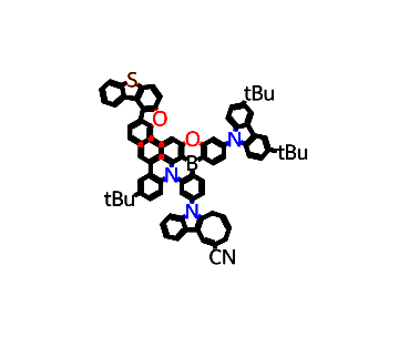 CC(C)(C)c1ccc(N2c3cc(-n4c5c(c6ccccc64)/C=C(/C#N)C/C=C\C5)ccc3B3c4ccc(-n5c6ccc(C(C)(C)C)cc6c6cc(C(C)(C)C)ccc65)cc4Oc4cc(-c5cccc6c5oc5ccc7sc8ccccc8c7c56)cc2c43)c(-c2ccccc2)c1